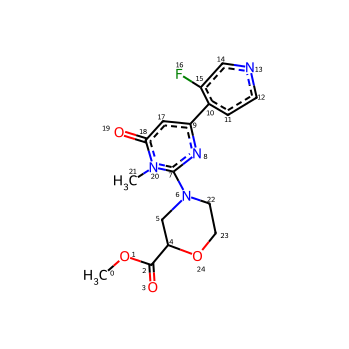 COC(=O)C1CN(c2nc(-c3ccncc3F)cc(=O)n2C)CCO1